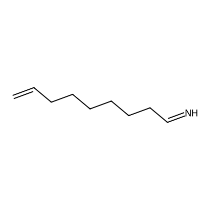 C=CCCCCCCC=N